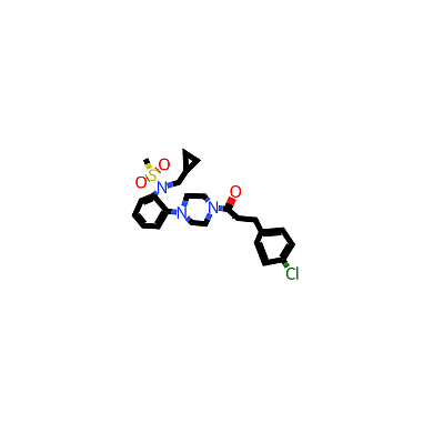 CS(=O)(=O)N(CC1CC1)c1ccccc1N1CCN(C(=O)[CH]Cc2ccc(Cl)cc2)CC1